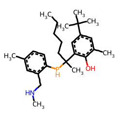 CCCCCC(C)(Pc1ccc(C)cc1CNC)c1cc(C(C)(C)C)cc(C)c1O